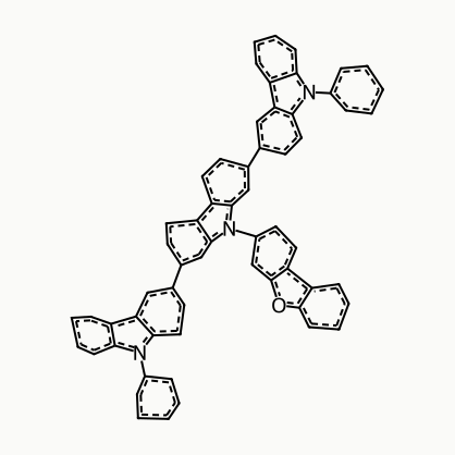 c1ccc(-n2c3ccccc3c3cc(-c4ccc5c6ccc(-c7ccc8c(c7)c7ccccc7n8-c7ccccc7)cc6n(-c6ccc7c(c6)oc6ccccc67)c5c4)ccc32)cc1